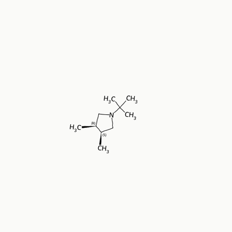 C[C@@H]1CN(C(C)(C)C)C[C@@H]1C